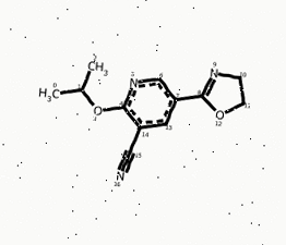 CC(C)Oc1ncc(C2=NCCO2)cc1C#N